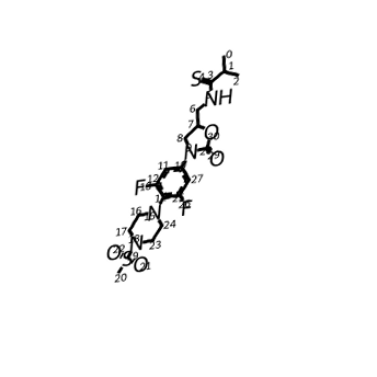 CC(C)C(=S)NCC1CN(c2cc(F)c(N3CCN(S(C)(=O)=O)CC3)c(F)c2)C(=O)O1